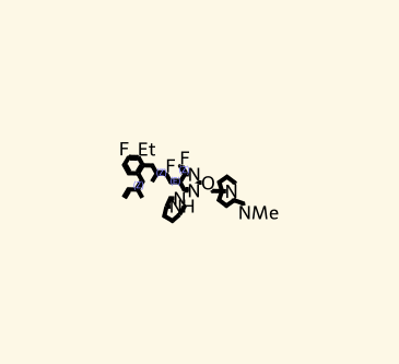 C=C/C(C)=C\c1ccc(F)c(CC)c1C/C(C)=C(F)/C=c1/c(N2CC3CCC(C2)N3)nc(OCC23CCCN2C(CNC)CC3)n/c1=C\F